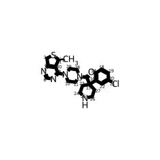 C[C@@H]1SCc2ncnc(N3CCN(C(=O)C4(c5cccc(Cl)c5)CCNCC4)CC3)c21